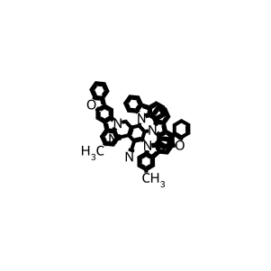 Cc1ccc2c(c1)c1cc3oc4ccccc4c3cc1n2CC1=C(C#N)C(C#N)=C(n2c3ccc(C)cc3c3cc4oc5c(c4cc32)CCC=C5)C(n2c3c#cccc3c3ccccc32)C1n1c2ccccc2c2ccccc21